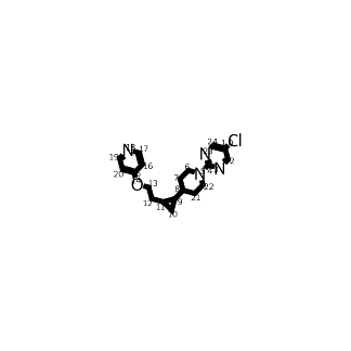 Clc1cnc(N2CCC(C3CC3CCOc3ccncc3)CC2)nc1